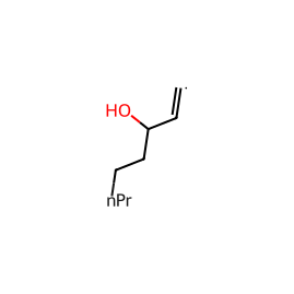 [CH]=CC(O)CCCCC